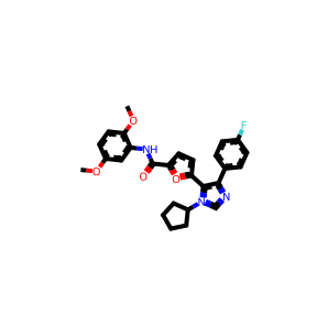 COc1ccc(OC)c(NC(=O)c2ccc(-c3c(-c4ccc(F)cc4)ncn3C3CCCC3)o2)c1